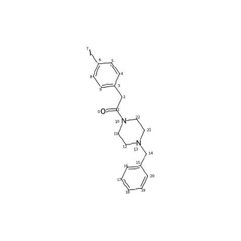 O=C(Cc1ccc(I)cc1)N1CCN(Cc2ccccc2)CC1